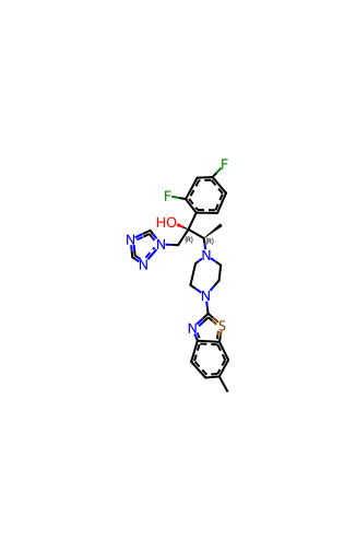 Cc1ccc2nc(N3CCN([C@H](C)[C@](O)(Cn4cncn4)c4ccc(F)cc4F)CC3)sc2c1